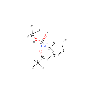 Cc1ccc(CC(=O)C(C)(C)C)c(NC(=O)OC(C)(C)C)c1